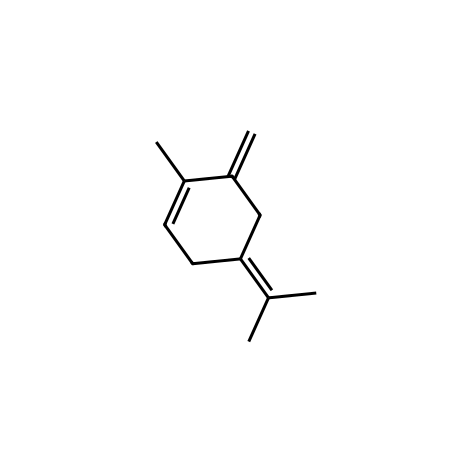 C=C1CC(=C(C)C)CC=C1C